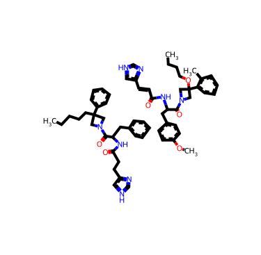 CCCCCC1(c2ccccc2)CN(C(=O)C(Cc2ccccc2)NC(=O)CCc2c[nH]cn2)C1.CCCCOC1(c2ccccc2C)CN(C(=O)C(Cc2ccc(OC)cc2)NC(=O)C=Cc2c[nH]cn2)C1